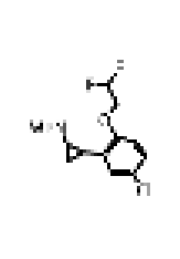 CNC1CC1c1cc(Cl)ccc1OCC(F)F